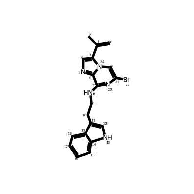 C=C(C)c1cnc2c(NCCc3c[nH]c4ccccc34)nc(Br)cn12